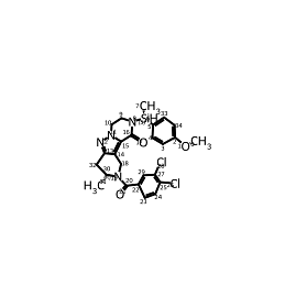 COc1ccc([Si@H](C)N2CCn3nc4c(c3C2=O)CN(C(=O)c2ccc(Cl)c(Cl)c2)[C@H](C)C4)cc1